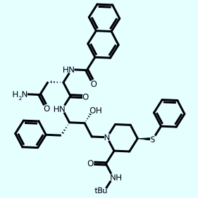 CC(C)(C)NC(=O)C1C[C@H](Sc2ccccc2)CCN1C[C@@H](O)[C@H](Cc1ccccc1)NC(=O)[C@H](CC(N)=O)NC(=O)c1ccc2ccccc2c1